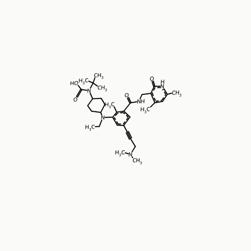 CCN(c1cc(C#CCN(C)C)cc(C(=O)NCc2c(C)cc(C)[nH]c2=O)c1C)C1CCC(N(C(=O)O)C(C)(C)C)CC1